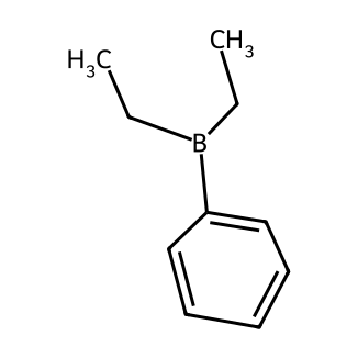 CCB(CC)c1ccccc1